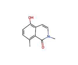 Cc1ccc(O)c2ccn(C)c(=O)c12